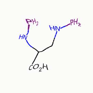 O=C(O)C(CNP)NP